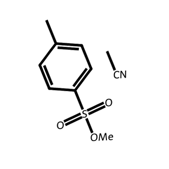 CC#N.COS(=O)(=O)c1ccc(C)cc1